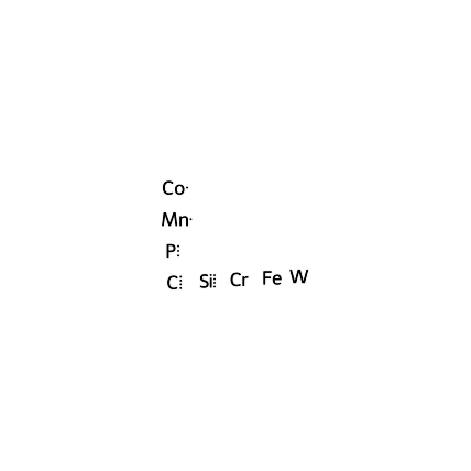 [C].[Co].[Cr].[Fe].[Mn].[P].[Si].[W]